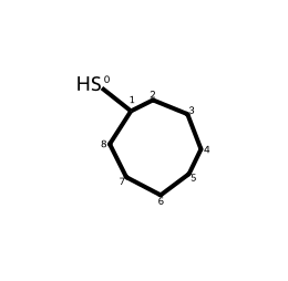 SC1CCCCCCC1